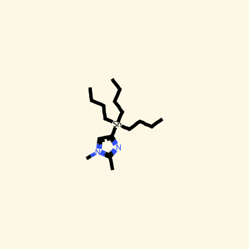 CCC[CH2][Sn]([CH2]CCC)([CH2]CCC)[c]1cn(C)c(C)n1